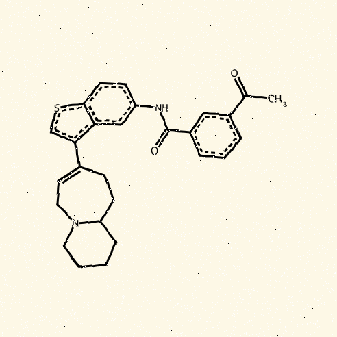 CC(=O)c1cccc(C(=O)Nc2ccc3scc(C4=CCN5CCCCC5CC4)c3c2)c1